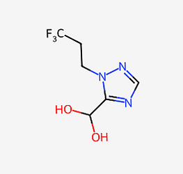 OC(O)c1ncnn1CCC(F)(F)F